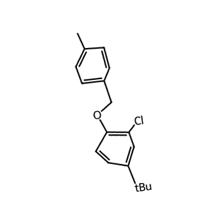 Cc1ccc(COc2ccc(C(C)(C)C)cc2Cl)cc1